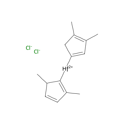 CC1=C(C)C[C]([Hf+2][C]2=C(C)C=CC2C)=C1.[Cl-].[Cl-]